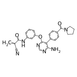 C=C(C#N)C(=O)Nc1cccc(Oc2ncnc(N)c2-c2ccc(C(=O)N3CCCC3)cc2)c1